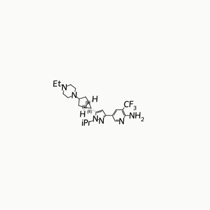 CCN1CCN(C2C[C@@H]3[C@H](C2)[C@H]3c2cc(-c3cnc(N)c(C(F)(F)F)c3)nn2C(C)C)CC1